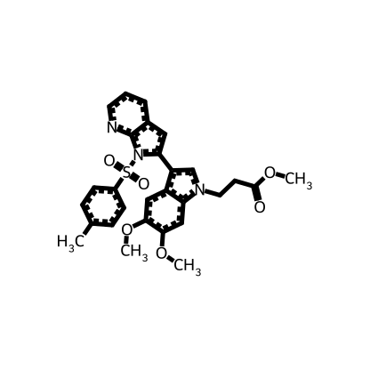 COC(=O)CCn1cc(-c2cc3cccnc3n2S(=O)(=O)c2ccc(C)cc2)c2cc(OC)c(OC)cc21